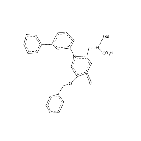 CC(C)(C)N(Cc1cc(=O)c(OCc2ccccc2)cn1-c1cccc(-c2ccccc2)c1)C(=O)O